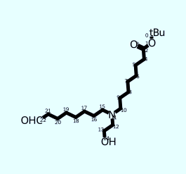 CC(C)(C)OC(=O)CCCCCCCN(CCO)CCCCCCCC=O